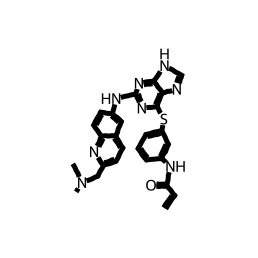 C=CC(=O)Nc1cccc(Sc2nc(Nc3ccc4nc(CN(C)C)ccc4c3)nc3[nH]cnc23)c1